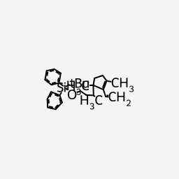 C=CC1=C(C)CCC1(C)C(C)CCO[Si](c1ccccc1)(c1ccccc1)C(C)(C)C